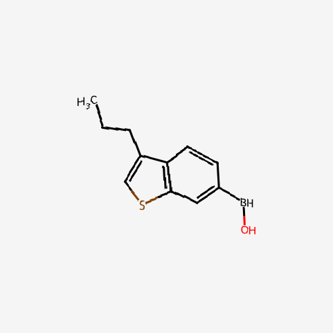 CCCc1csc2cc(BO)ccc12